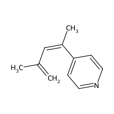 C=C(C)/C=C(/C)c1ccncc1